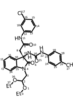 CCOC(CN1C(=O)[C@@](CC(=O)Nc2cccc(Cl)c2)(NC(=O)Nc2ccc(C)cc2)c2ccccc21)OCC